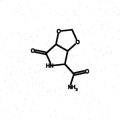 NC(=O)C1NC(=O)C2OCOC12